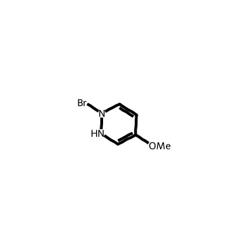 COC1=CNN(Br)C=C1